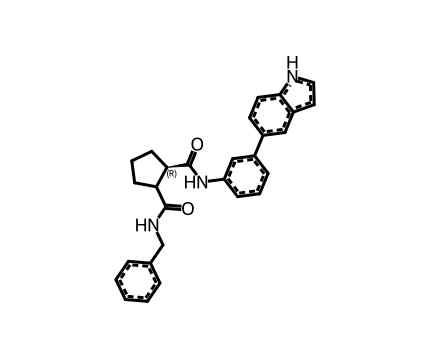 O=C(NCc1ccccc1)C1CCC[C@H]1C(=O)Nc1cccc(-c2ccc3[nH]ccc3c2)c1